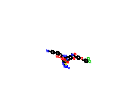 Cc1nc(N)sc1S(=O)(=O)N1Cc2cc3c(cc2CC1C(=O)N[C@@H](Cc1ccc(-c2ccc(C#N)cc2)cc1)C(=O)O)N(C)C(=O)C(c1ccc(OCc2ccc(Cl)c(Cl)c2)cc1)O3